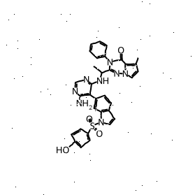 Cc1ccn2nc(C(C)Nc3ncnc(N)c3-c3ccc4ccn(S(=O)(=O)c5ccc(O)cc5)c4c3)n(-c3ccccc3)c(=O)c12